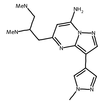 CNCC(Cc1cc(N)n2ncc(-c3cnn(C)c3)c2n1)NC